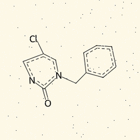 O=c1ncc(Cl)cn1Cc1ccccc1